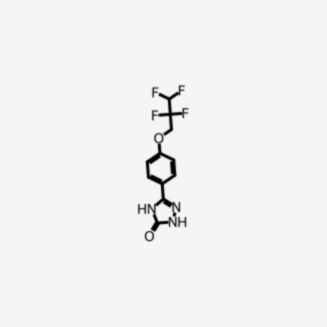 O=c1[nH]nc(-c2ccc(OCC(F)(F)C(F)F)cc2)[nH]1